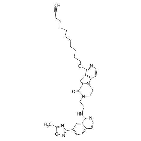 C#CCCCCCCCCCCOc1nccc2c1cc1n2CCN(CCNc2nccc3ccc(-c4noc(C)n4)cc23)C1=O